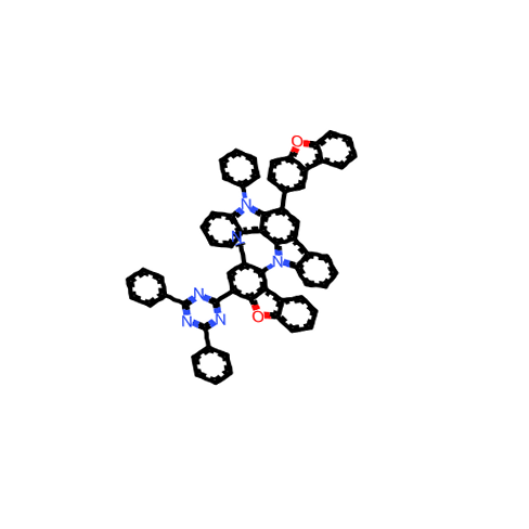 N#Cc1cc(-c2nc(-c3ccccc3)nc(-c3ccccc3)n2)c2oc3ccccc3c2c1-n1c2ccccc2c2cc(-c3ccc4oc5ccccc5c4c3)c3c(c4ccccc4n3-c3ccccc3)c21